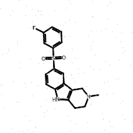 CN1CCc2[nH]c3ccc(S(=O)(=O)c4cccc(F)c4)cc3c2C1